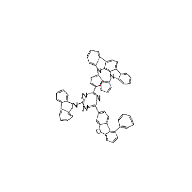 c1ccc(-c2cccc3oc4cc(-c5nc(-c6ccc(-n7c8ccccc8c8ccc9c%10ccccc%10n(-c%10ccccc%10)c9c87)cc6)nc(-n6c7ccccc7c7ccccc76)n5)ccc4c23)cc1